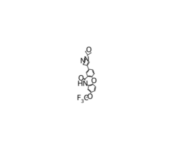 O=C1Nc2cc(OC(F)(F)F)ccc2Oc2ccc(-c3cnn(C4COC4)c3)cc21